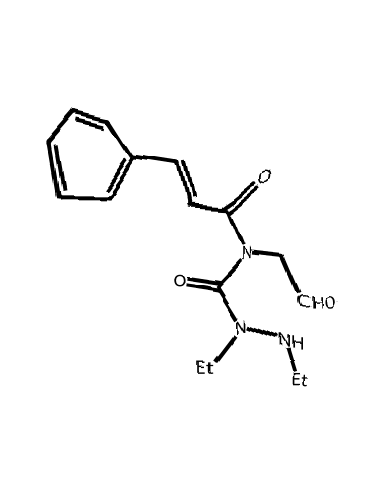 CCNN(CC)C(=O)N(C[C]=O)C(=O)/C=C/c1ccccc1